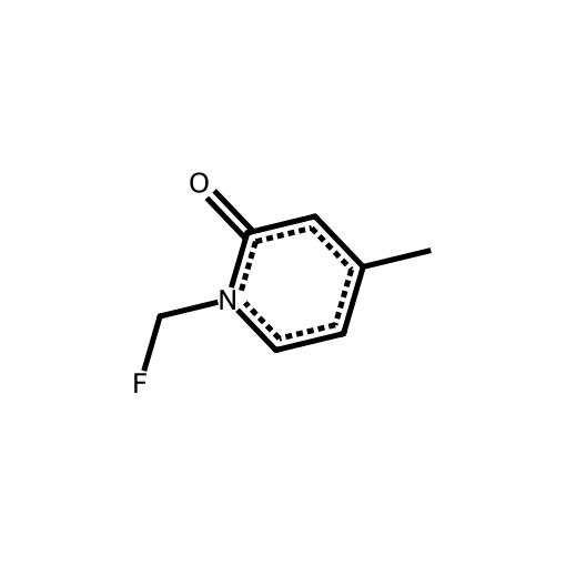 Cc1ccn(CF)c(=O)c1